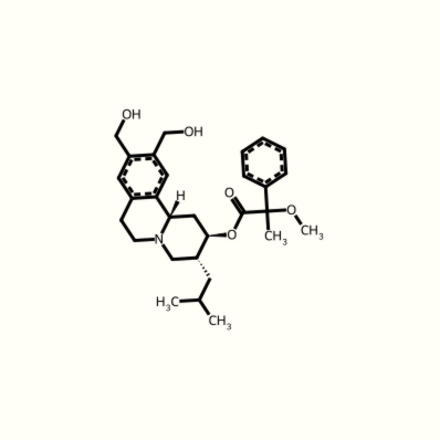 COC(C)(C(=O)O[C@@H]1C[C@H]2c3cc(CO)c(CO)cc3CCN2C[C@H]1CC(C)C)c1ccccc1